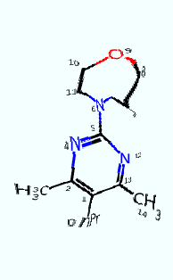 CCCc1c(C)nc(N2CCOCC2)nc1C